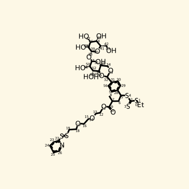 CCSC(=S)SC(CC(C)C(=O)OCCOCCOCCSSc1ccccn1)c1ccc(C2OC[C@H]3O[C@H](O[C@H]4O[C@H](CO)[C@@H](O)[C@H](O)[C@H]4O)[C@H](O)[C@@H](O)[C@@H]3O2)cc1